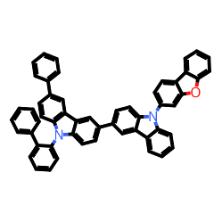 c1ccc(-c2ccc3c(c2)c2cc(-c4ccc5c(c4)c4ccccc4n5-c4ccc5c(c4)oc4ccccc45)ccc2n3-c2ccccc2-c2ccccc2)cc1